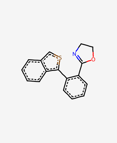 c1ccc(-c2scc3ccccc23)c(C2=NCCO2)c1